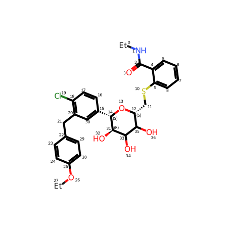 CCNC(=O)c1ccccc1SC[C@H]1O[C@@H](c2ccc(Cl)c(Cc3ccc(OCC)cc3)c2)[C@H](O)C(O)C1O